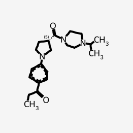 CCC(=O)c1ccc(N2CC[C@H](C(=O)N3CCN(C(C)C)CC3)C2)cc1